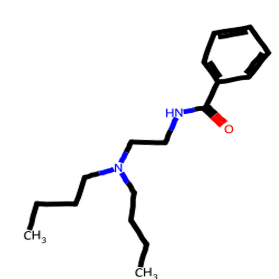 CCCCN(CCCC)CCNC(=O)c1ccccc1